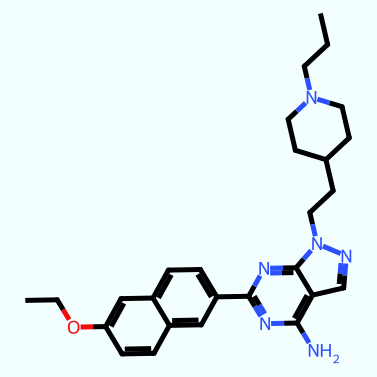 CCCN1CCC(CCn2ncc3c(N)nc(-c4ccc5cc(OCC)ccc5c4)nc32)CC1